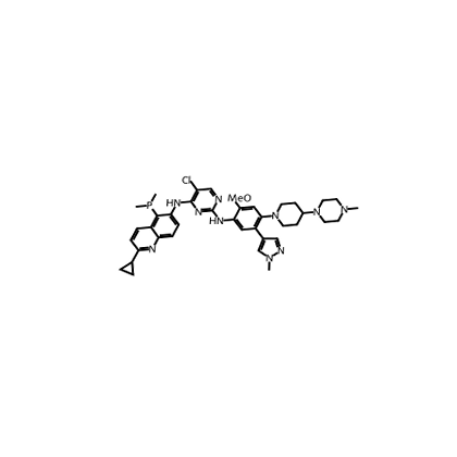 COc1cc(N2CCC(N3CCN(C)CC3)CC2)c(-c2cnn(C)c2)cc1Nc1ncc(Cl)c(Nc2ccc3nc(C4CC4)ccc3c2P(C)C)n1